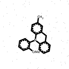 COc1ccccc1N1c2ccccc2Cc2cc(C)ccc21